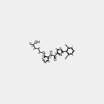 Cc1cccc(F)c1-c1nc(C(=O)Nc2cnsc2OCCCC(C)O)cs1